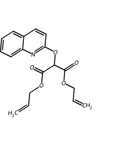 C=CCOC(=O)C(Oc1ccc2ccccc2n1)C(=O)OCC=C